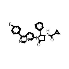 O=C(N[C@@H]1CC(=O)N(c2ccc3c(-c4ccc(F)cc4)ncn3c2)[C@H]1c1ccccc1)C1CC1